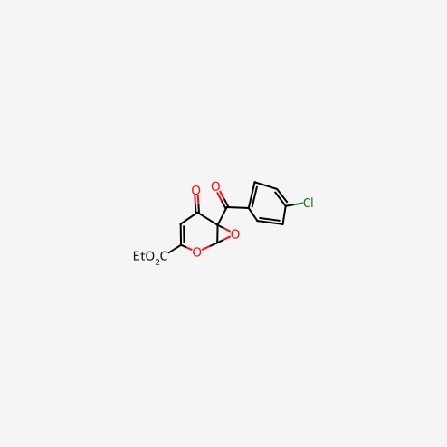 CCOC(=O)C1=CC(=O)C2(C(=O)c3ccc(Cl)cc3)OC2O1